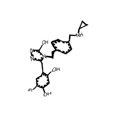 CC(C)c1cc(-c2nnc(O)n2Cc2ccc(CNC3CC3)cc2)c(O)cc1O